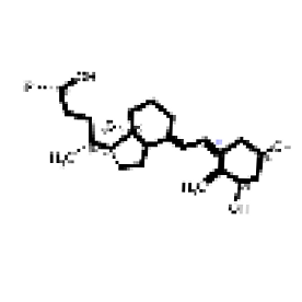 C=C1/C(=C\C=C2CCC[C@@]3(C)C2CC[C@@H]3[C@H](C)CC[C@@H](O)C(C)C)C[C@@H](O)C[C@H]1O